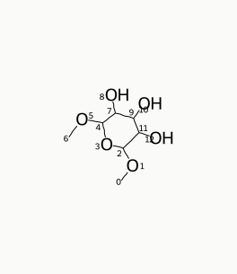 COC1OC(OC)C(O)C(O)C1O